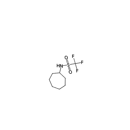 O=S(=O)(NC1CCCCCC1)C(F)(F)F